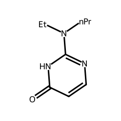 CCCN(CC)c1nccc(=O)[nH]1